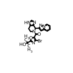 CC(C)(O)c1nc(Br)c(C(=O)N2CCc3[nH]cnc3C2c2cc3ccccn3n2)o1